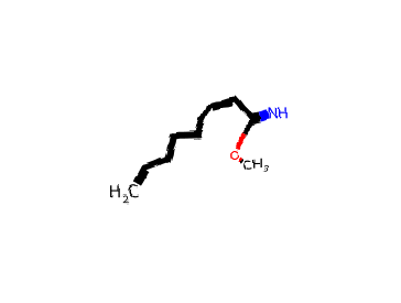 C=CCCC/C=C\C(=N)OC